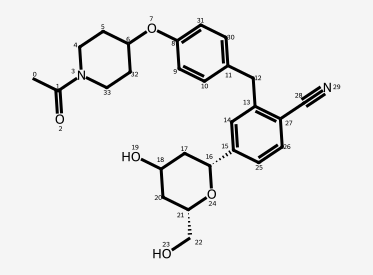 CC(=O)N1CCC(Oc2ccc(Cc3cc([C@H]4CC(O)C[C@@H](CO)O4)ccc3C#N)cc2)CC1